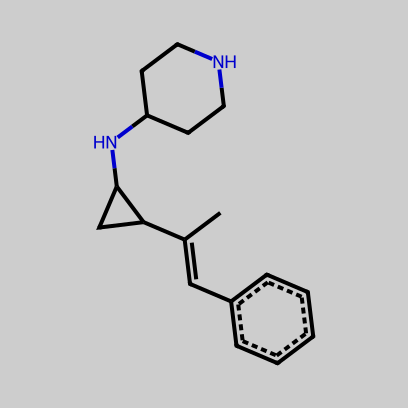 C/C(=C\c1ccccc1)C1CC1NC1CCNCC1